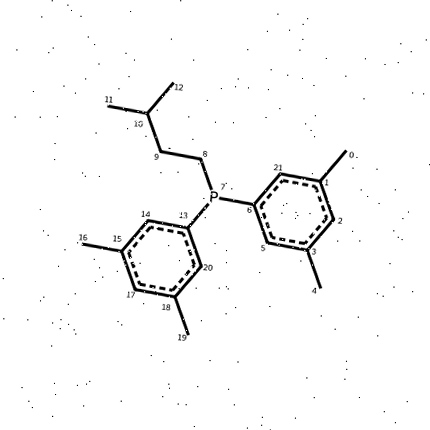 Cc1cc(C)cc(P(CCC(C)C)c2cc(C)cc(C)c2)c1